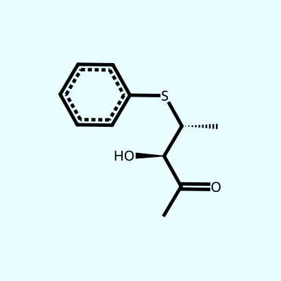 CC(=O)[C@@H](O)[C@@H](C)Sc1ccccc1